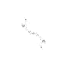 CC1(C)c2cc(-c3ccc(-c4ccc(C=C(C#N)C#N)c5nsnc45)s3)sc2-c2sc3c4c(sc3c21)-c1sc(-c2ccc(-c3ccc(C=C(C#N)C#N)c5nsnc35)s2)cc1C4(C)C